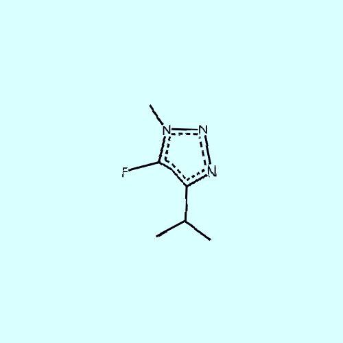 CC(C)c1nnn(C)c1F